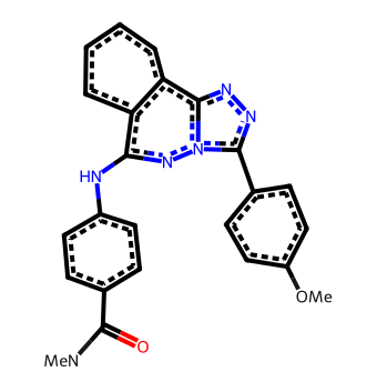 CNC(=O)c1ccc(Nc2nn3c(-c4ccc(OC)cc4)nnc3c3ccccc23)cc1